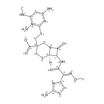 CNc1cc(N)nc(SCC2(C(=O)[O-])CS[C@@H]3C(NC(=O)C(=NOC)c4csc(N)n4)C(=O)N3C2)[n+]1N